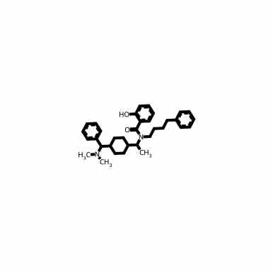 CC(C1CCC(C(c2ccccc2)N(C)C)CC1)N(CCCCc1ccccc1)C(=O)c1ccccc1O